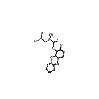 CN(CC(=O)O)C(=O)Oc1c2oc3ccccc3nc-2ccc1=O